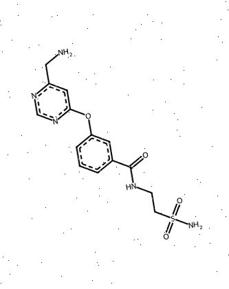 NCc1cc(Oc2cccc(C(=O)NCCS(N)(=O)=O)c2)ncn1